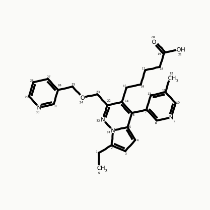 CCc1ccc2c(-c3cncc(C)c3)c(CCCCC(=O)O)c(COCc3cccnc3)nn12